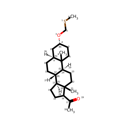 CSCO[C@@H]1CCC2(C)[C@@H](CC[C@H]3[C@@H]4CCC(C(C)=O)C4(C)CC[C@@H]32)C1